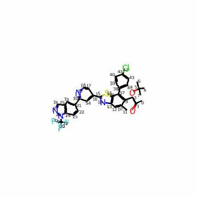 CC(=O)[C@@H](OC(C)(C)C)c1c(C)cc2nc(-c3ccnc(-c4ccc5c(cnn5C(F)(F)F)c4)c3)sc2c1-c1ccc(Cl)cc1